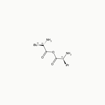 CC[C@H](C)[C@H](N)C(=O)OC(=O)[C@@H](N)C(C)C